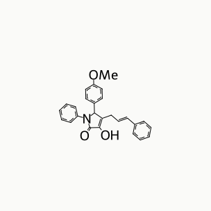 COc1ccc(C2C(CC=Cc3ccccc3)=C(O)C(=O)N2c2ccccc2)cc1